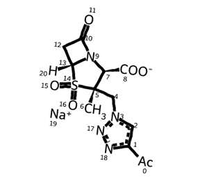 CC(=O)c1cn(C[C@@]2(C)[C@H](C(=O)[O-])N3C(=O)C[C@H]3S2(=O)=O)nn1.[Na+]